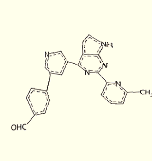 Cc1cccc(-c2nc(-c3cncc(-c4ccc(C=O)cc4)c3)c3cc[nH]c3n2)n1